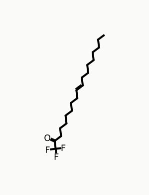 CCCCCCCC/C=C/CCCCCCCC(=O)C(F)(F)F